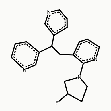 FC1CCN(c2ncccc2CC(c2cccnc2)c2cccnc2)C1